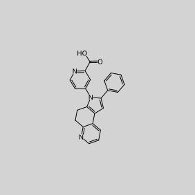 O=C(O)c1cc(-n2c(-c3ccccc3)cc3c2CCc2ncccc2-3)ccn1